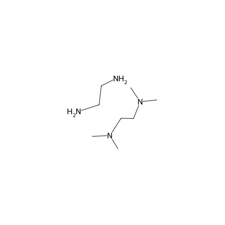 CN(C)CCN(C)C.NCCN